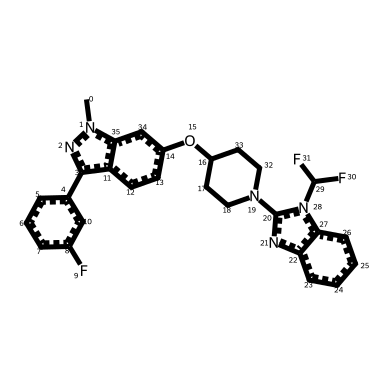 Cn1nc(-c2cccc(F)c2)c2ccc(OC3CCN(c4nc5ccccc5n4C(F)F)CC3)cc21